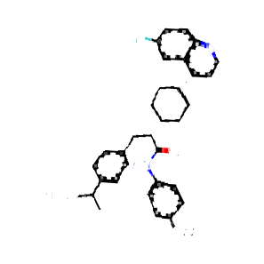 CC(C(=O)O)c1ccc(CC(C(=O)Nc2ccc(C#N)cc2)[C@H]2CC[C@@H](c3ccnc4ccc(F)cc43)CC2)cc1